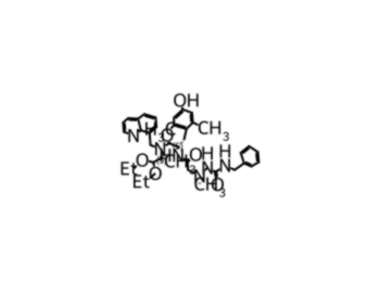 CCOC(OCC)[C@H](C)N(Cc1cccc2cccnc12)C(=O)[C@H](Cc1c(C)cc(O)cc1C)NC(=O)CN(C)NC(=O)NCc1ccccc1